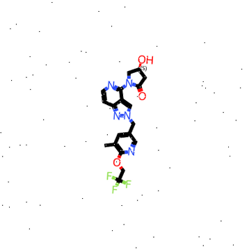 Cc1cc(Cn2cc3c(N4C[C@@H](O)CC4=O)nccc3n2)cnc1OCC(F)(F)F